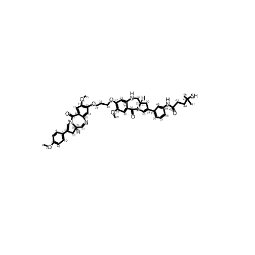 COc1ccc(C2=CN3C(=O)c4cc(OC)c(OCCCOc5cc6c(cc5OC)C(=O)N5C=C(c7cccc(NC(=O)CCC(C)(C)S)c7)C[C@H]5CN6)cc4N=C[C@@H]3C2)cc1